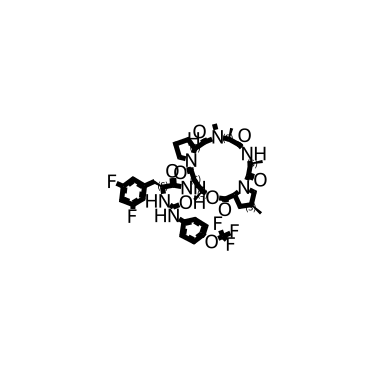 C[C@H]1CC2C(=O)O[C@@H](C)[C@H](NC(=O)[C@H](Cc3cc(F)cc(F)c3)NC(O)Nc3ccc(OC(F)(F)F)cc3)C(=O)N3CCC[C@H]3C(=O)N(C)[C@@H](C)C(=O)N[C@@H](C)C(=O)N2C1